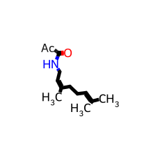 CC(=O)C(=O)NCC=C(C)CCC=C(C)C